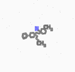 CCCCC1(CCC2(C#N)CCCC(C)C2)C=CC(c2ccccc2)C=C1